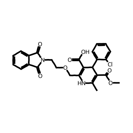 COC(=O)C1=C(C)NC(COCCN2C(=O)c3ccccc3C2=O)=C(C(=O)O)C1c1ccccc1Cl